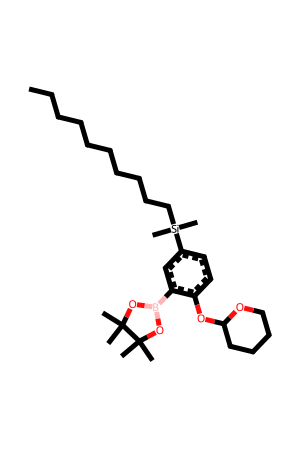 CCCCCCCCCC[Si](C)(C)c1ccc(OC2CCCCO2)c(B2OC(C)(C)C(C)(C)O2)c1